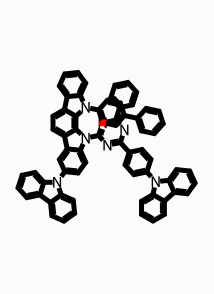 c1ccc(-c2ccc(-n3c4ccccc4c4ccc5c6cc(-n7c8ccccc8c8ccccc87)ccc6n(-c6nc(-c7ccccc7)nc(-c7ccc(-n8c9ccccc9c9ccccc98)cc7)n6)c5c43)cc2)cc1